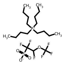 CCCC[P+](CCCC)(CCCC)CCCC.O=S(=O)([O-])C(F)(F)C(F)OC(F)(F)F